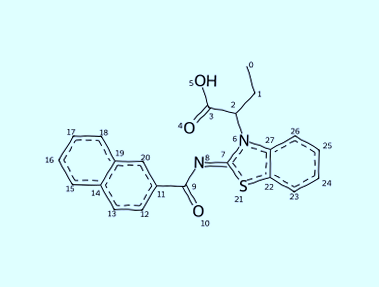 CCC(C(=O)O)n1c(=NC(=O)c2ccc3ccccc3c2)sc2ccccc21